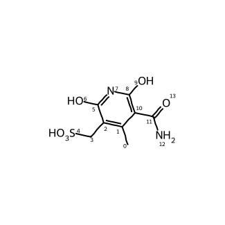 Cc1c(CS(=O)(=O)O)c(O)nc(O)c1C(N)=O